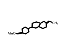 CC=C1CCC2CC(C3CCC(=COC)CC3)CCC2C1